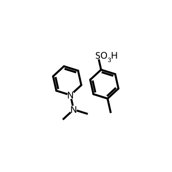 CN(C)N1C=CC=CC1.Cc1ccc(S(=O)(=O)O)cc1